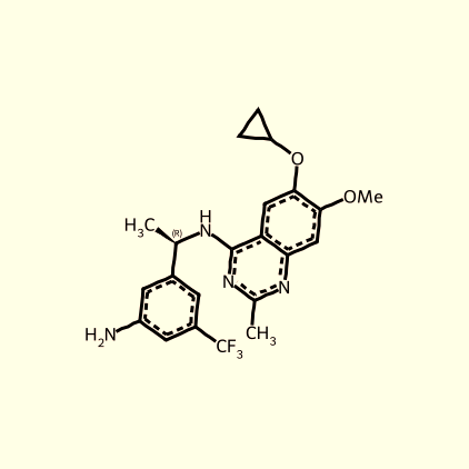 COc1cc2nc(C)nc(N[C@H](C)c3cc(N)cc(C(F)(F)F)c3)c2cc1OC1CC1